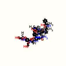 C#CP(=O)(Nc1ccc(C(=O)N[C@@H](C(=O)N[C@H](CCCNC(N)=O)C(=O)Nc2ccc(COC(=O)N(C)[C@@H](C(=O)N[C@@H](C(=O)N(C)[C@@H]([C@H](CC(=O)N3CCC[C@@H]3[C@@H](OC)[C@H](C)C(=O)N[C@@H](C)[C@H](O)c3ccccc3)OC)[C@@H](C)CC)C(C)C)C(C)C)cc2)C(C)C)c(OCCO)c1)OCCO